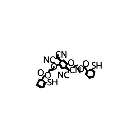 N#CC(C#N)=c1cc(OCCOC(=O)c2ccccc2S)c(=C(C#N)C#N)cc1OCCOC(=O)c1ccccc1S